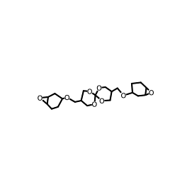 C(OC1CCC2OC2C1)C1COC2(OC1)OCC(COC1CCC3OC3C1)CO2